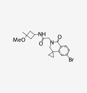 COC1(C)CC(NC(=O)CN2CC3(CC3)c3cc(Br)ccc3C2=O)C1